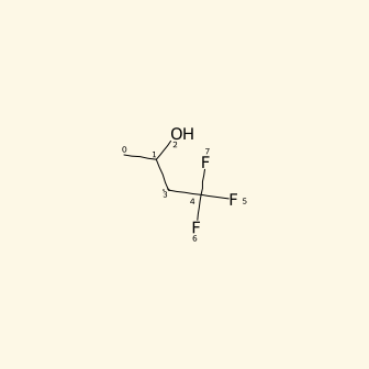 CC(O)[CH]C(F)(F)F